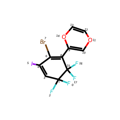 FC1(F)C=C(I)C(Br)=C(C2=COC=CO2)C1(F)F